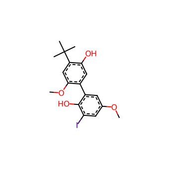 COc1cc(I)c(O)c(-c2cc(O)c(C(C)(C)C)cc2OC)c1